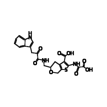 O=C(O)C(=O)Nc1sc2c(c1C(=O)O)CC(CNC(=O)C(=O)Cc1c[nH]c3ccccc13)OC2